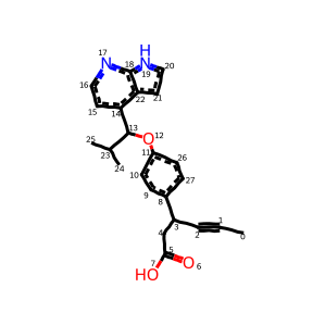 CC#CC(CC(=O)O)c1ccc(OC(c2ccnc3[nH]ccc23)C(C)C)cc1